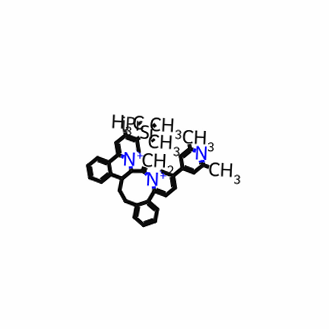 C=C1C2C(CCc3ccccc3-c3ccc(-c4cc(C)nc(C)c4)c[n+]31)c1ccccc1-c1cc(C(C)C)c([Si](C)(C)C)c[n+]12